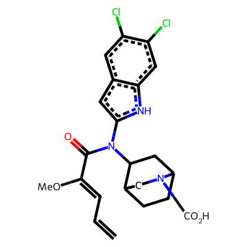 C=CC=C(OC)C(=O)N(c1cc2cc(Cl)c(Cl)cc2[nH]1)C1CC2CCC1CN2C(=O)O